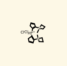 C[Si]1(C2=[C]([Hf+2][C]3=C([Si]4(C)CCC4)C=CC3)CC=C2)CCC1.[Cl-].[Cl-]